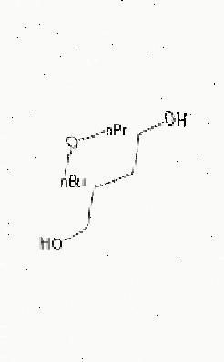 CCCCOCCC.OCCCCO